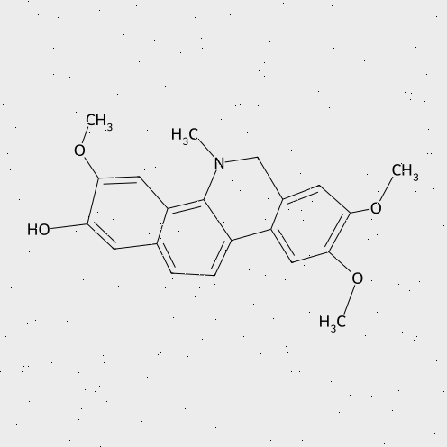 COc1cc2c3c(ccc2cc1O)-c1cc(OC)c(OC)cc1CN3C